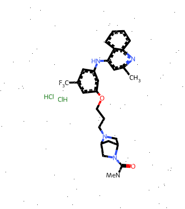 CNC(=O)N1CC2CC1CN2CCCOc1cc(Nc2cc(C)nc3ccccc23)cc(C(F)(F)F)c1.Cl.Cl